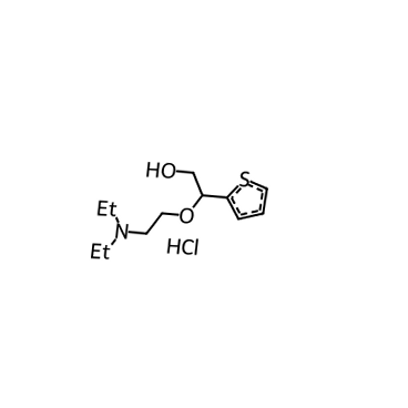 CCN(CC)CCOC(CO)c1cccs1.Cl